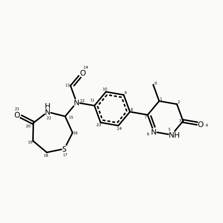 CC1CC(=O)NN=C1c1ccc(N(C=O)C2CSCCC(=O)N2)cc1